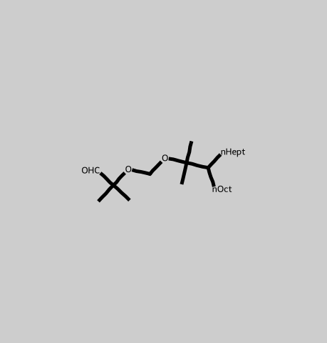 CCCCCCCCC(CCCCCCC)C(C)(C)OCOC(C)(C)C=O